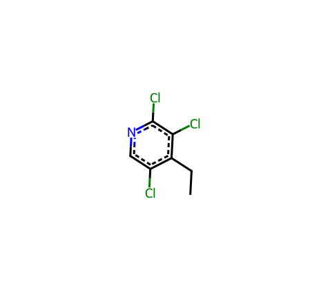 CCc1c(Cl)cnc(Cl)c1Cl